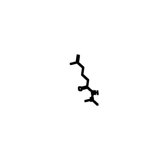 C=C(C)CCCC(=O)NN(C)C